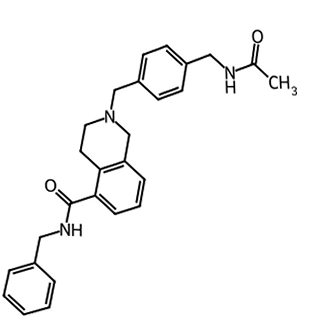 CC(=O)NCc1ccc(CN2CCc3c(cccc3C(=O)NCc3ccccc3)C2)cc1